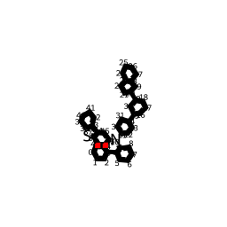 c1ccc(-c2ccccc2N(c2ccc(-c3cccc(-c4ccc5ccccc5c4)c3)cc2)c2ccc3sc4ccccc4c3c2)cc1